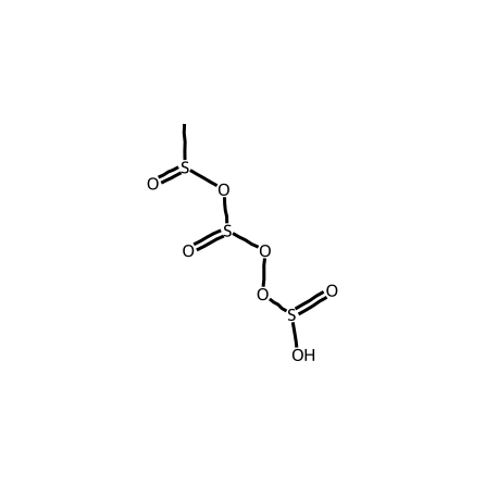 CS(=O)OS(=O)OOS(=O)O